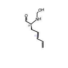 C=C/C=C/C[C@@H](C=O)NCO